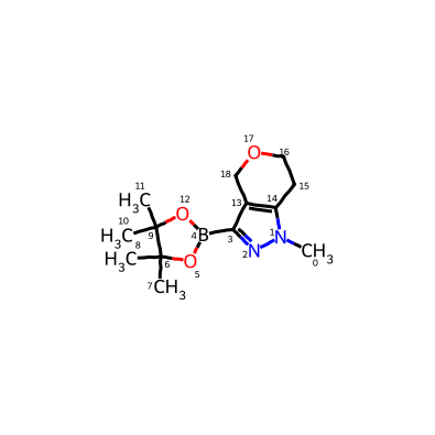 Cn1nc(B2OC(C)(C)C(C)(C)O2)c2c1CCOC2